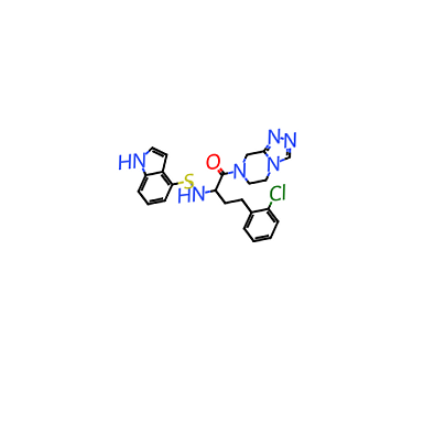 O=C(C(CCc1ccccc1Cl)NSc1cccc2[nH]ccc12)N1CCn2cnnc2C1